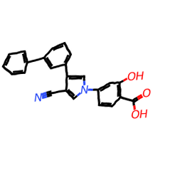 N#Cc1cn(-c2ccc(C(=O)O)c(O)c2)cc1-c1cccc(-c2ccccc2)c1